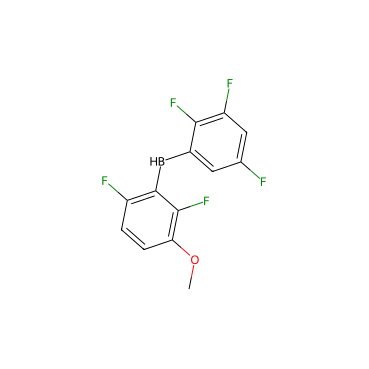 COc1ccc(F)c(Bc2cc(F)cc(F)c2F)c1F